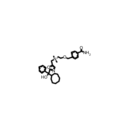 C[N+](C)(CCOCc1ccc(C(N)=O)cc1)Cc1cnc(C(O)(c2ccccc2)C2CCCCCCC2)o1